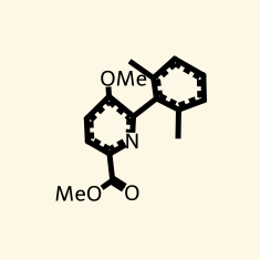 COC(=O)c1ccc(OC)c(-c2c(C)cccc2C)n1